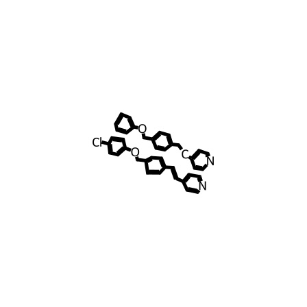 Clc1ccc(OCc2ccc(/C=C/c3ccncc3)cc2)cc1.c1ccc(OCc2ccc(CCc3ccncc3)cc2)cc1